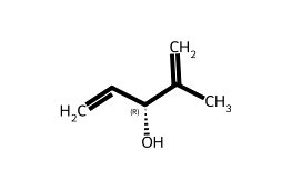 C=C[C@@H](O)C(=C)C